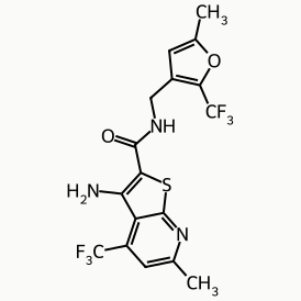 Cc1cc(C(F)(F)F)c2c(N)c(C(=O)NCc3cc(C)oc3C(F)(F)F)sc2n1